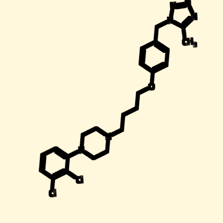 Cc1nnnn1Cc1ccc(OCCCCN2CCN(c3cccc(Cl)c3Cl)CC2)cc1